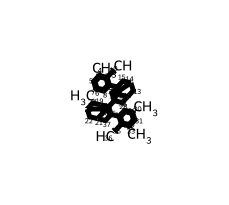 C#Cc1c(C)cc(C)cc1C12CC3CC(C1)CC(C1C4CC5CC(C4)CC1(c1cc(C)cc(C)c1C#C)C5)(C3)C2